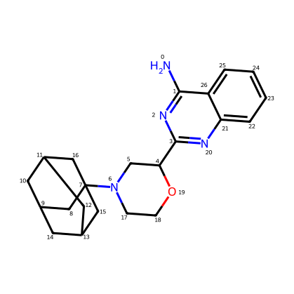 Nc1nc(C2CN(C34CC5CC(CC(C5)C3)C4)CCO2)nc2ccccc12